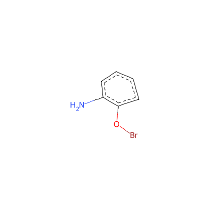 Nc1ccccc1OBr